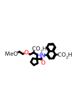 COCCOCC(CC1(C(=O)Nc2ccc(C(=O)O)c3ccccc23)CCCC1)C(=O)O